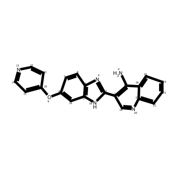 Nc1c(-c2nc3ccc(Oc4ccncc4)cc3[nH]2)cnc2ccccc12